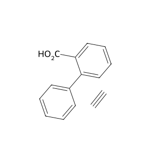 C#C.O=C(O)c1ccccc1-c1ccccc1